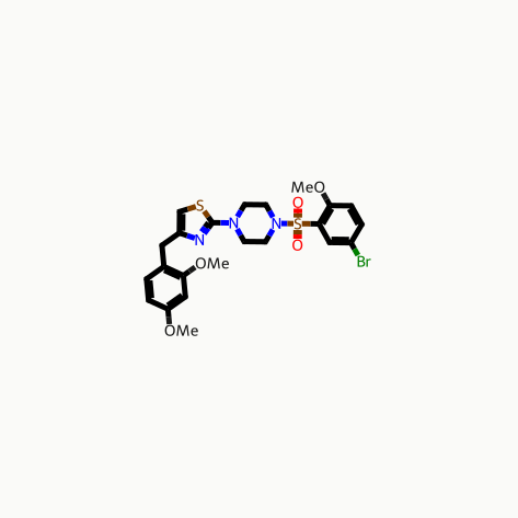 COc1ccc(Cc2csc(N3CCN(S(=O)(=O)c4cc(Br)ccc4OC)CC3)n2)c(OC)c1